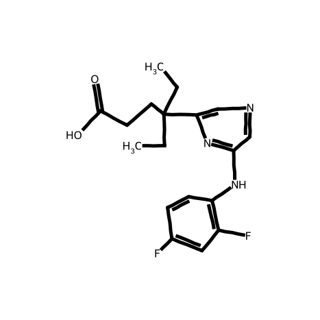 CCC(CC)(CCC(=O)O)c1cncc(Nc2ccc(F)cc2F)n1